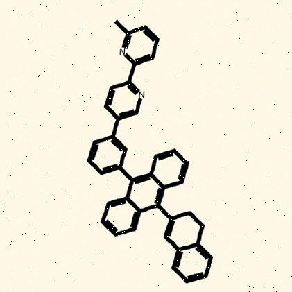 Cc1cccc(-c2ccc(-c3cccc(-c4c5ccccc5c(C5=Cc6ccccc6CC5)c5ccccc45)c3)cn2)n1